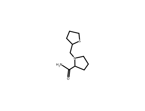 NC(=O)C1CCCN1CC1CCCS1